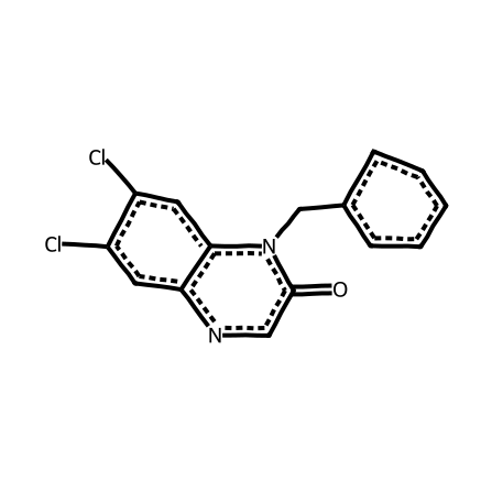 O=c1cnc2cc(Cl)c(Cl)cc2n1Cc1ccccc1